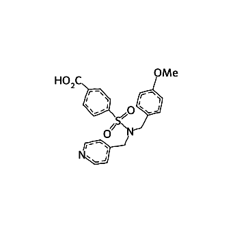 COc1ccc(CN(Cc2ccncc2)S(=O)(=O)c2ccc(C(=O)O)cc2)cc1